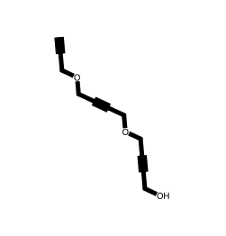 C#CCOCC#CCOCC#CCO